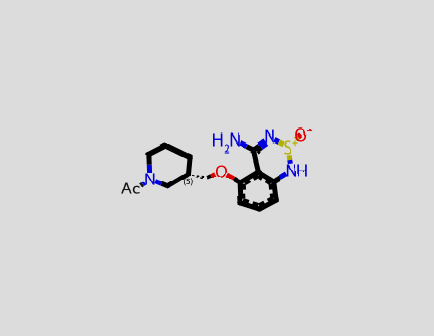 CC(=O)N1CCC[C@H](COc2cccc3c2C(N)=N[S+]([O-])N3)C1